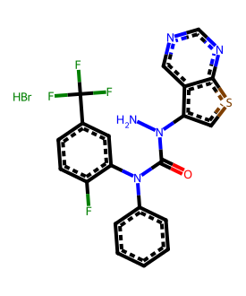 Br.NN(C(=O)N(c1ccccc1)c1cc(C(F)(F)F)ccc1F)c1csc2ncncc12